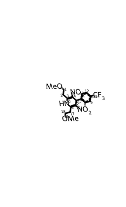 COCCC1=C([N+](=O)[O-])C(c2ccc(C(F)(F)F)cc2)C([N+](=O)[O-])=C(CCOC)N1